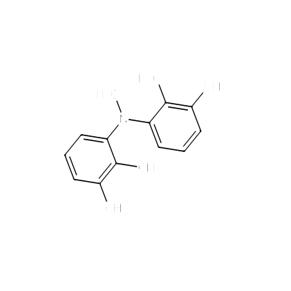 Cc1cccc(N(C)c2cccc(C)c2C)c1C